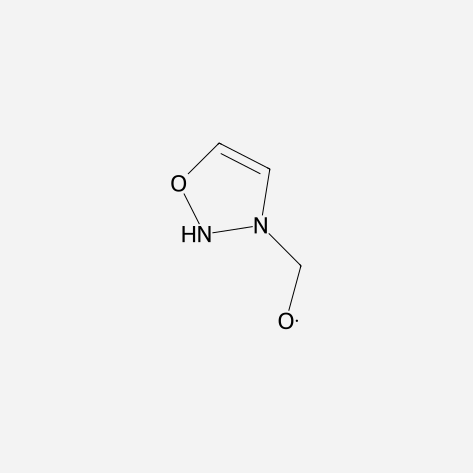 [O]CN1C=CON1